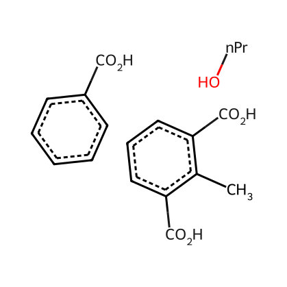 CCCO.Cc1c(C(=O)O)cccc1C(=O)O.O=C(O)c1ccccc1